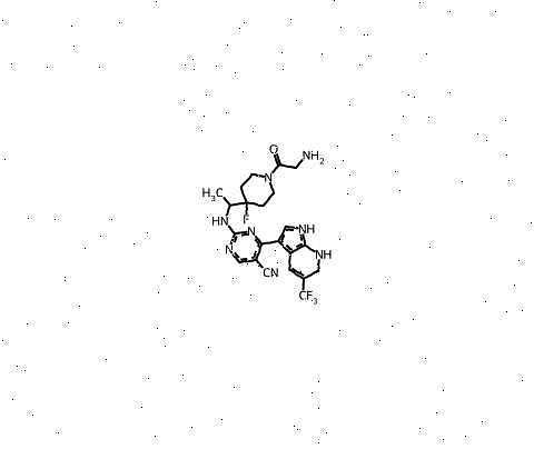 CC(Nc1ncc(C#N)c(-c2c[nH]c3c2C=C(C(F)(F)F)CN3)n1)C1(F)CCN(C(=O)CN)CC1